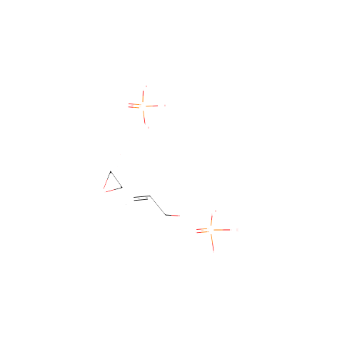 C1CO1.C=CCO.O.O.O.O=P(O)(O)O.O=P(O)(O)O